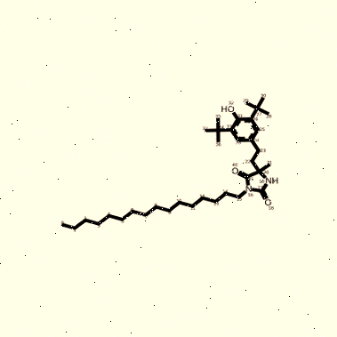 CCCCCCCCCCCCCCCCN1C(=O)NC(C)(CCc2cc(C(C)(C)C)c(O)c(C(C)(C)C)c2)C1=O